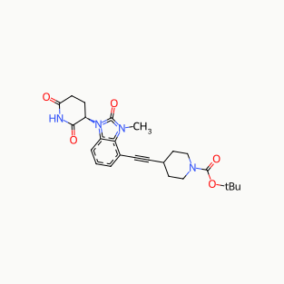 Cn1c(=O)n([C@@H]2CCC(=O)NC2=O)c2cccc(C#CC3CCN(C(=O)OC(C)(C)C)CC3)c21